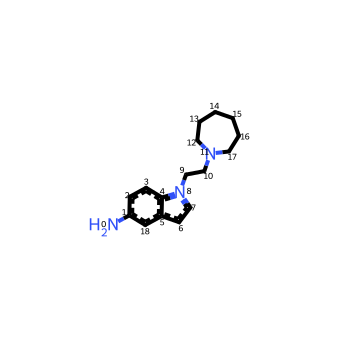 Nc1ccc2c(ccn2CCN2CCCCCC2)c1